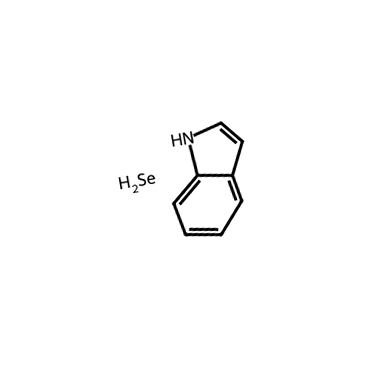 [SeH2].c1ccc2[nH]ccc2c1